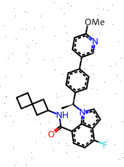 COc1ccc(-c2ccc([C@H](C)n3ccc4c(F)ccc(C(=O)NC5CC6(CCC6)C5)c43)cc2)cn1